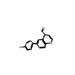 O=CC1C=COc2ccc(-c3ccc(F)cc3)cc21